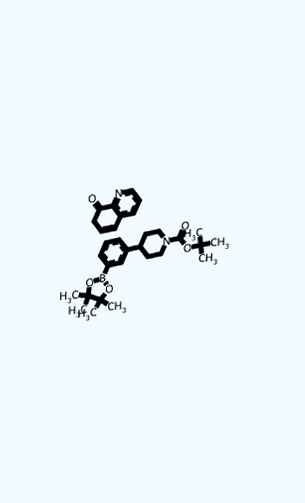 CC(C)(C)OC(=O)N1CCC(c2cccc(B3OC(C)(C)C(C)(C)O3)c2)CC1.O=C1CC=Cc2cccnc21